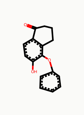 O=C1CCCc2c1ccc(O)c2Oc1ccccc1